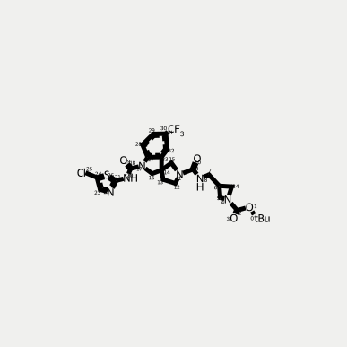 CC(C)(C)OC(=O)N1CC(CNC(=O)N2CCC3(C2)CN(C(=O)Nc2ncc(Cl)s2)c2ccc(C(F)(F)F)cc23)C1